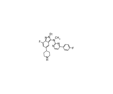 CCn1nc2c(F)cc(C3CCNCC3)cc2c1N(C)c1nccc(-c2ccc(F)cc2)n1